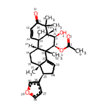 CC(=O)O[C@@H]1[C@H](O)[C@H]2C(C)(C)C(=O)C=C[C@]2(C)[C@H]2CC[C@]3(C)C(=CC[C@H]3c3ccoc3)C12C